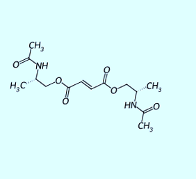 CC(=O)N[C@@H](C)COC(=O)/C=C/C(=O)OC[C@H](C)NC(C)=O